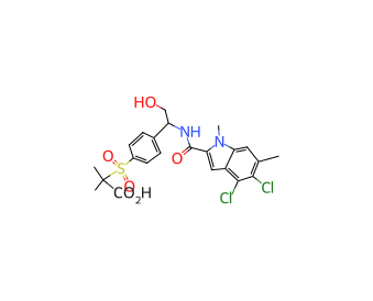 Cc1cc2c(cc(C(=O)NC(CO)c3ccc(S(=O)(=O)C(C)(C)C(=O)O)cc3)n2C)c(Cl)c1Cl